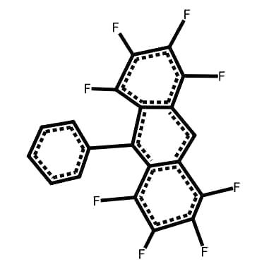 Fc1c(F)c(F)c2c(-c3ccccc3)c3c(F)c(F)c(F)c(F)c3cc2c1F